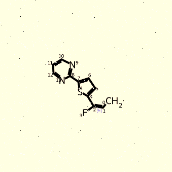 [CH2]/C=C(/F)c1ccc(-c2ncccn2)s1